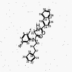 O=C(N[C@@H](Cc1ccc(F)cc1)C(=O)NCCCc1ccccc1)c1ccc2ccccc2c1